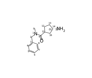 CN(Cc1ccccc1)C(=O)C1CC[C@H](N)C1